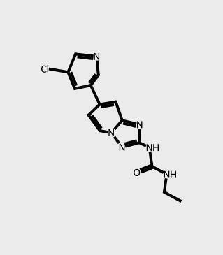 CCNC(=O)Nc1nc2cc(-c3cncc(Cl)c3)ccn2n1